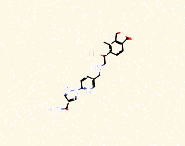 Cc1c(C(O)CNCc2ccc(-n3cc(C(N)=O)cn3)nc2)ccc2c1COC2=O